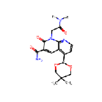 CCN(CC)C(=O)Cn1c(=O)c(C(N)=O)cc2c(B3OCC(C)(C)CO3)ccnc21